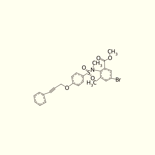 COC(=O)c1cc(Br)cc(C)c1N(C)S(=O)(=O)c1ccc(OCC#Cc2ccccc2)cc1